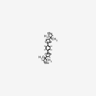 CC(C)(C)CC(C)(C)C1COB(c2ccc(B3OCC(C(C)(C)CC(C)(C)C)O3)cc2)O1